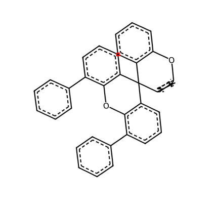 c1ccc(-c2cccc3c2Oc2c(-c4ccccc4)cccc2C32c3ccccc3Oc3ccccc32)cc1